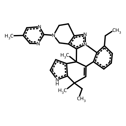 CCc1cccc2c1-n1nc3c(c1C1(C)C2=CC(C)(CC)c2[nH]ccc21)CN(c1ncc(C)cn1)CC3